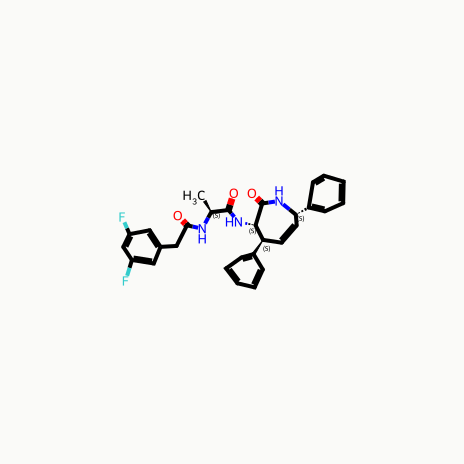 C[C@H](NC(=O)Cc1cc(F)cc(F)c1)C(=O)N[C@@H]1C(=O)N[C@H](c2ccccc2)C=C[C@H]1c1ccccc1